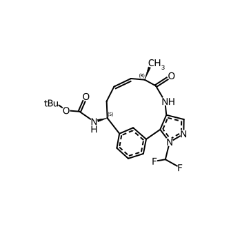 C[C@@H]1C=CC[C@H](NC(=O)OC(C)(C)C)c2cccc(c2)-c2c(cnn2C(F)F)NC1=O